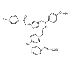 CCCOc1ccc(C(Cn2cc[n+](CC(=O)c3ccc(F)cc3)c2)OCCc2ccc(C#N)cc2)cc1.O=C([O-])C=Cc1ccccc1